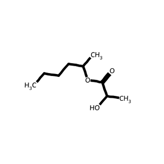 CCCCC(C)OC(=O)C(C)O